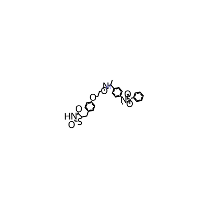 C/C(=N/OCCOc1ccc(CC2SC(=O)NC2=O)cc1)c1ccc(N(C)S(=O)(=O)c2ccccc2)cc1